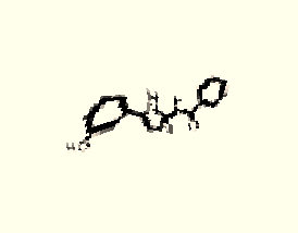 O=C(Nc1ncc(-c2cccc(O)c2)[nH]1)c1ccccc1